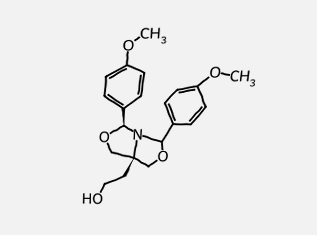 COc1ccc(C2OC[C@]3(CCO)CO[C@@H](c4ccc(OC)cc4)N23)cc1